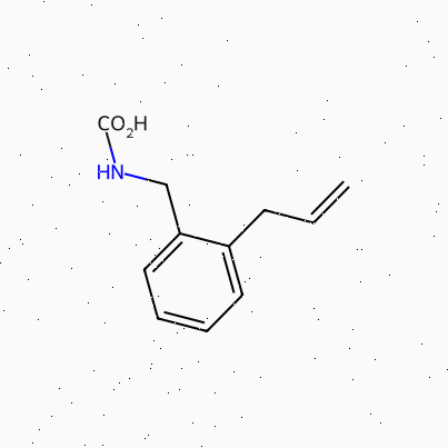 C=CCc1ccccc1CNC(=O)O